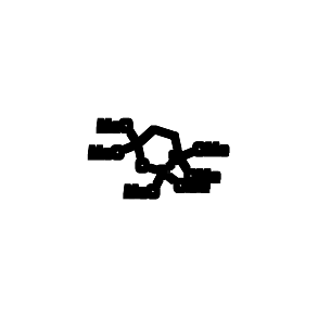 COC1(OC)CC[Si](OC)(OC)[Si](OC)(OC)O1